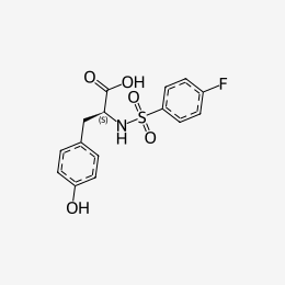 O=C(O)[C@H](Cc1ccc(O)cc1)NS(=O)(=O)c1ccc(F)cc1